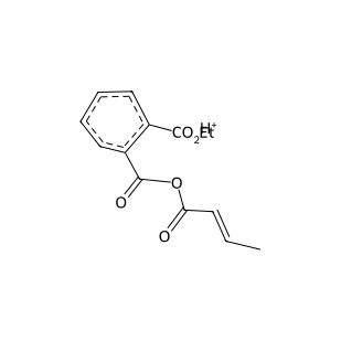 CC=CC(=O)OC(=O)c1ccccc1C(=O)OCC.[H+]